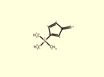 [B]=C1C=CC([Si](C)(C)C)=C1